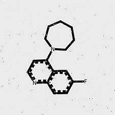 Fc1ccc2nc[c]c(N3CCCCCC3)c2c1